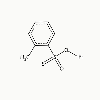 Cc1ccccc1S(=O)(=S)OC(C)C